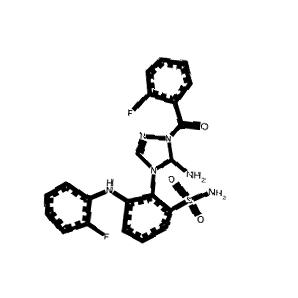 NC1N(C(=O)c2ccccc2F)N=CN1c1c(Nc2ccccc2F)cccc1S(N)(=O)=O